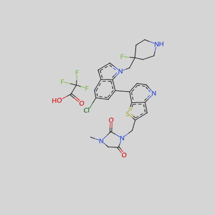 CN1CC(=O)N(Cc2cc3nccc(-c4cc(Cl)cc5ccn(CC6(F)CCNCC6)c45)c3s2)C1=O.O=C(O)C(F)(F)F